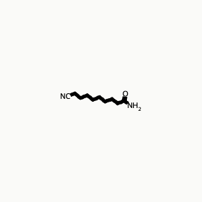 N#CCCCCCCCCC(N)=O